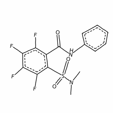 CN(C)S(=O)(=O)c1c(F)c(F)c(F)c(F)c1C(=O)Nc1ccccc1